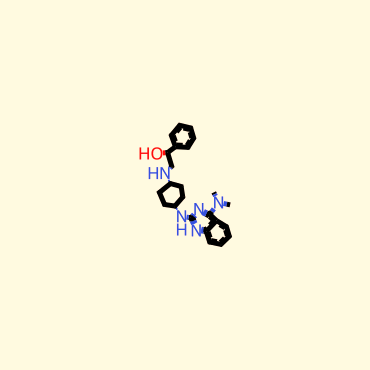 CN(C)c1nc(N[C@H]2CC[C@@H](NCC(O)c3ccccc3)CC2)nc2ccccc12